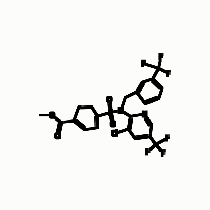 COC(=O)c1ccc(S(=O)(=O)N(Cc2cccc(C(F)(F)F)c2)c2ncc(C(F)(F)F)cc2Cl)cc1